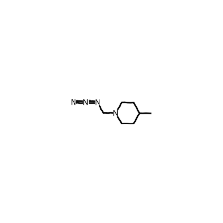 CC1CCN(CN=[N+]=[N-])CC1